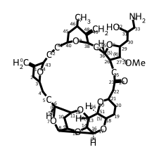 C=C1CC2CC[C@H]3OC4C5CC3O[C@H]3C(O5)[C@H]4OC4CCC(CC(=O)CC5[C@@H](OC)C(CC(O)CN)O[C@H]5CC5OC(CCC1O2)CC(C)C5=C)O[C@@H]43